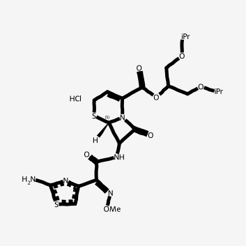 CON=C(C(=O)NC1C(=O)N2C(C(=O)OC(COC(C)C)COC(C)C)=CCS[C@@H]12)c1csc(N)n1.Cl